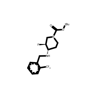 CC(C)(C)OC(=O)N1CC[C@H](NCc2ccccc2C(F)(F)F)[C@@H](F)C1